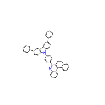 c1ccc(-c2ccc3c(c2)c2cc(-c4ccccc4)ccc2n3-c2ccc(-c3nc4ccccc4c4c3ccc3ccccc34)cc2)cc1